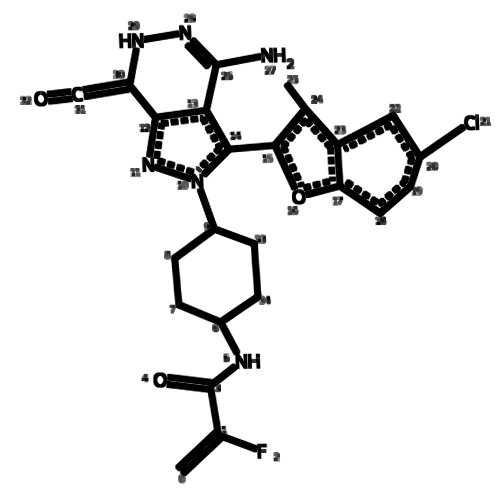 C=C(F)C(=O)NC1CCC(n2nc3c(c2-c2oc4ccc(Cl)cc4c2C)C(N)=NNC3=C=O)CC1